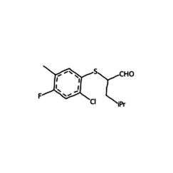 Cc1cc(SC(C=O)CC(C)C)c(Cl)cc1F